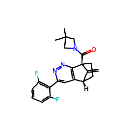 C=C1[C@@H]2CC[C@@]1(C(=O)N1CC(C)(C)C1)c1nnc(-c3c(F)cccc3F)cc12